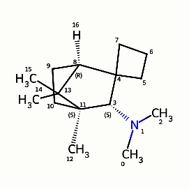 CN(C)[C@H]1C2(CCC2)[C@@H]2CC[C@@]1(C)C2(C)C